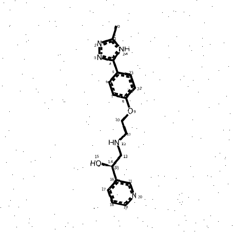 Cc1nnc(-c2ccc(OCCNC[C@H](O)c3cccnc3)cc2)[nH]1